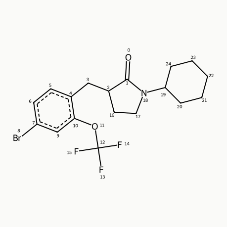 O=C1C(Cc2ccc(Br)cc2OC(F)(F)F)CCN1C1CCCCC1